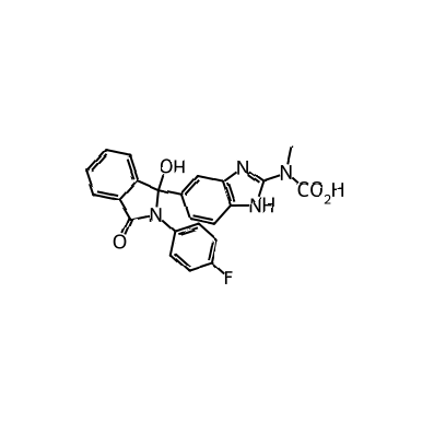 CN(C(=O)O)c1nc2cc(C3(O)c4ccccc4C(=O)N3c3ccc(F)cc3)ccc2[nH]1